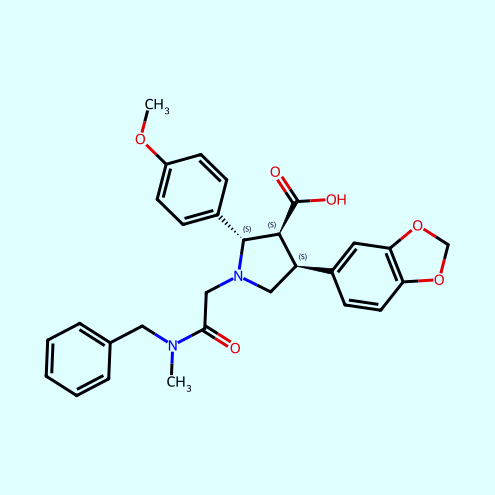 COc1ccc([C@@H]2[C@@H](C(=O)O)[C@@H](c3ccc4c(c3)OCO4)CN2CC(=O)N(C)Cc2ccccc2)cc1